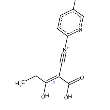 CC/C(O)=C(\C#[N+]c1ccc(Cl)cn1)C(=O)O